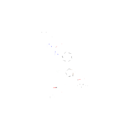 COC(=O)c1sc(-c2cccc(N(C(=O)NCCC(=O)O)C3CCCCC3)c2)c(Br)c1OCC(=O)OC(C)(C)C